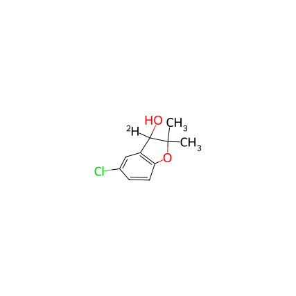 [2H]C1(O)c2cc(Cl)ccc2OC1(C)C